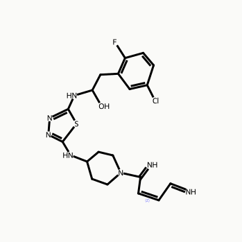 N=C/C=C\C(=N)N1CCC(Nc2nnc(NC(O)Cc3cc(Cl)ccc3F)s2)CC1